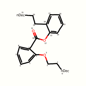 CCCCCCCCCCCCOc1ccccc1C(=O)Oc1ccccc1CCCCCCCCCCCC